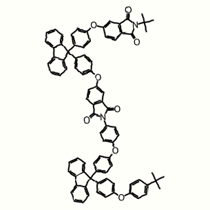 CC(C)(C)c1ccc(Oc2ccc(C3(c4ccc(Oc5ccc(N6C(=O)c7ccc(Oc8ccc(C9(c%10ccc(Oc%11ccc%12c(c%11)C(=O)N(C(C)(C)C)C%12=O)cc%10)c%10ccccc%10-c%10ccccc%109)cc8)cc7C6=O)cc5)cc4)c4ccccc4-c4ccccc43)cc2)cc1